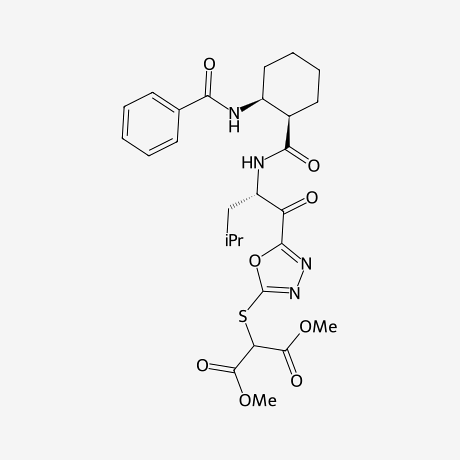 COC(=O)C(Sc1nnc(C(=O)[C@H](CC(C)C)NC(=O)[C@@H]2CCCC[C@@H]2NC(=O)c2ccccc2)o1)C(=O)OC